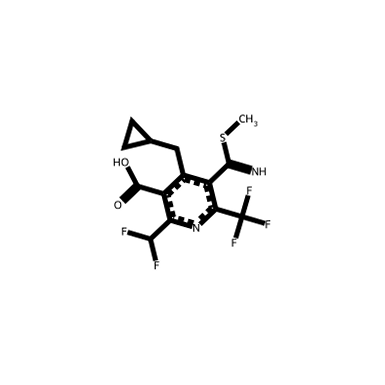 CSC(=N)c1c(C(F)(F)F)nc(C(F)F)c(C(=O)O)c1CC1CC1